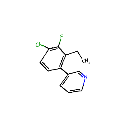 CCc1c(-c2cccnc2)ccc(Cl)c1F